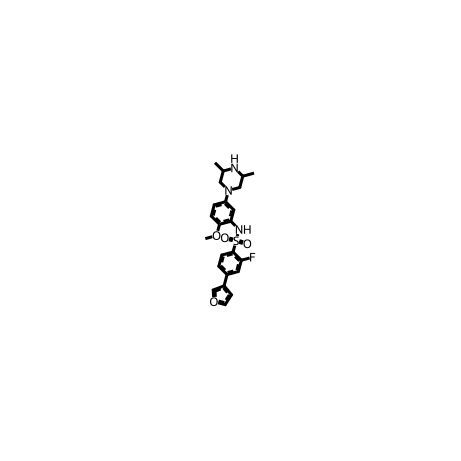 COc1ccc(N2CC(C)NC(C)C2)cc1NS(=O)(=O)c1ccc(-c2ccoc2)cc1F